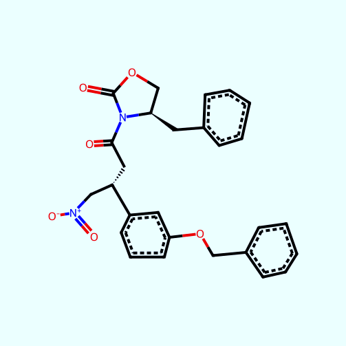 O=C(C[C@@H](C[N+](=O)[O-])c1cccc(OCc2ccccc2)c1)N1C(=O)OC[C@H]1Cc1ccccc1